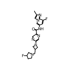 Cc1cn2cc(NC(=O)c3cnc(N4CC(CN5CCC(F)C5)C4)cn3)cc(F)c2n1